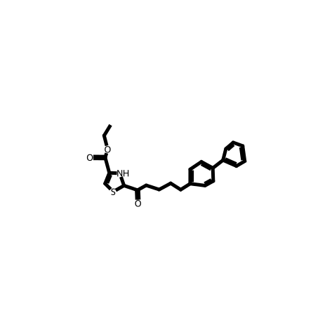 CCOC(=O)C1=CSC(C(=O)CCCCc2ccc(-c3ccccc3)cc2)N1